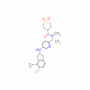 CN(C(=O)C1CCS(=O)(=O)CC1)[C@@H](c1ccc(NC2Cc3ccc(Cl)c(C4CC4)c3C2)cn1)C(F)(F)F